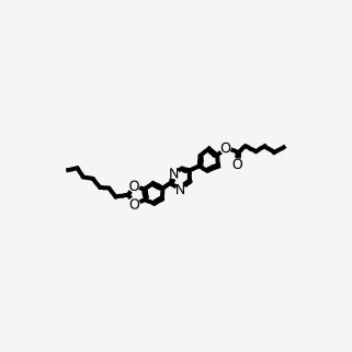 CCCCCCCC1Oc2ccc(-c3ncc(-c4ccc(OC(=O)CCCCC)cc4)cn3)cc2O1